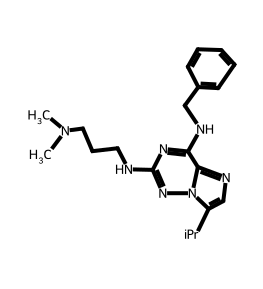 CC(C)c1cnc2c(NCc3ccccc3)nc(NCCCN(C)C)nn12